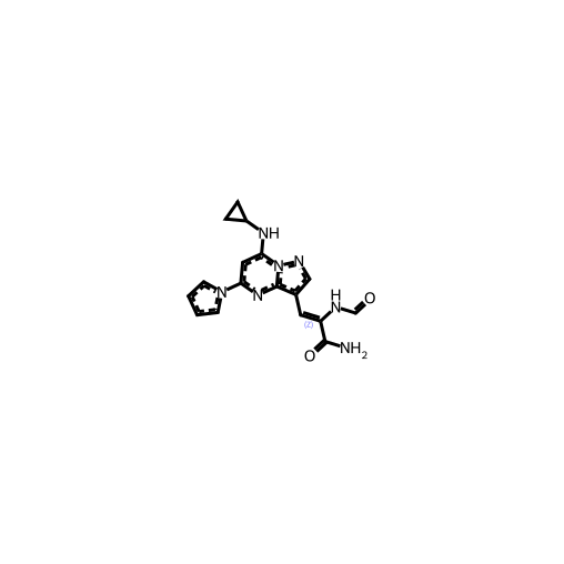 NC(=O)/C(=C/c1cnn2c(NC3CC3)cc(-n3cccc3)nc12)NC=O